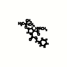 CNC(=O)C1CC(OC(C)(C)C)CN1C(=O)OCc1ccccc1